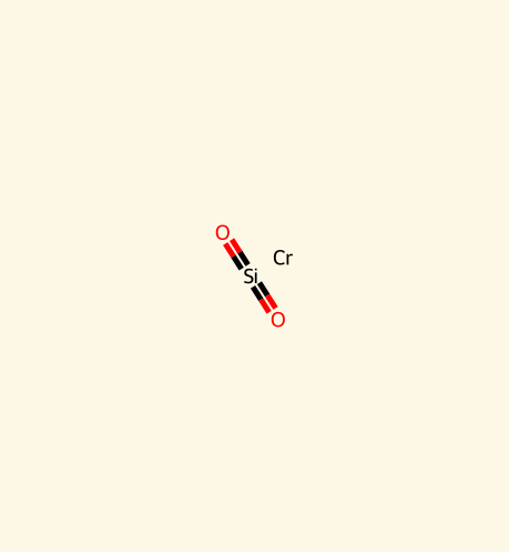 O=[Si]=O.[Cr]